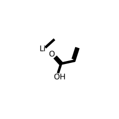 C=CC(=O)O.[Li][CH3]